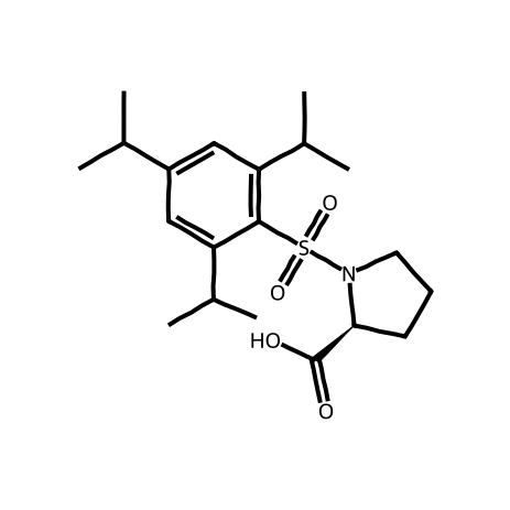 CC(C)c1cc(C(C)C)c(S(=O)(=O)N2CCC[C@H]2C(=O)O)c(C(C)C)c1